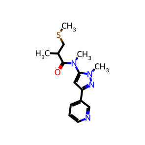 CSCC(C)C(=O)N(C)c1cc(-c2cccnc2)nn1C